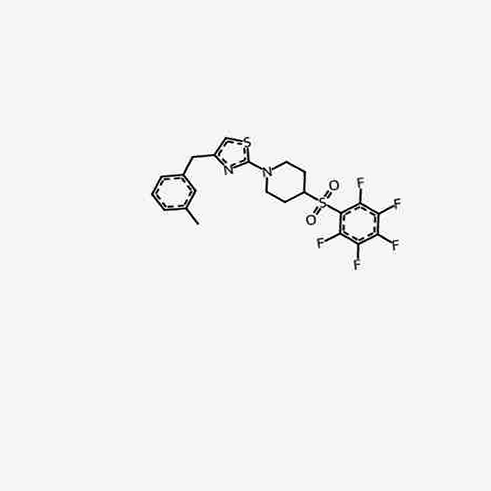 Cc1cccc(Cc2csc(N3CCC(S(=O)(=O)c4c(F)c(F)c(F)c(F)c4F)CC3)n2)c1